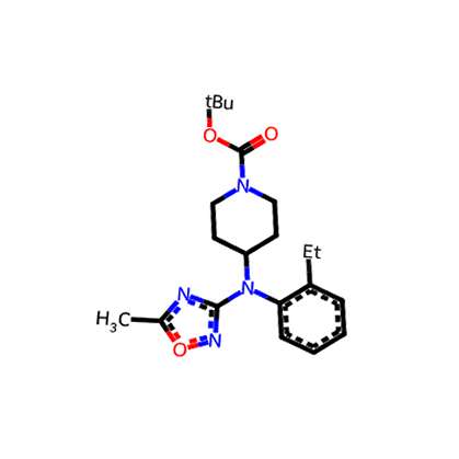 CCc1ccccc1N(c1noc(C)n1)C1CCN(C(=O)OC(C)(C)C)CC1